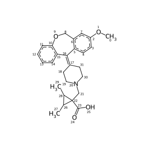 COc1ccc2c(c1)COc1ccccc1C2=C1CCN(CC2(C(=O)O)C(C)C2C)CC1